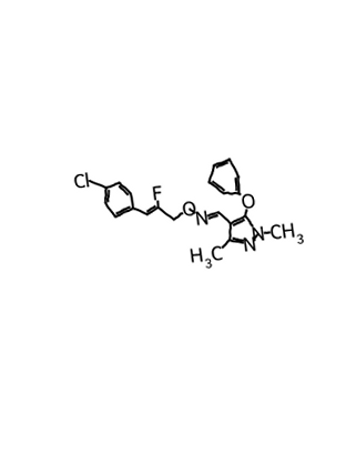 Cc1nn(C)c(Oc2ccccc2)c1C=NOCC(F)=Cc1ccc(Cl)cc1